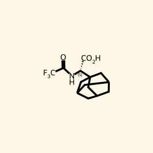 O=C(O)[C@@H](NC(=O)C(F)(F)F)C12CC3CC(CC(C3)C1)C2